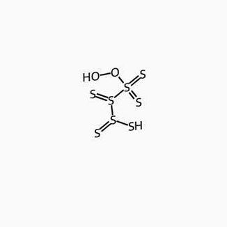 OOS(=S)(=S)S(=S)S(=S)S